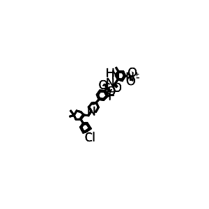 Cc1cc([N+](=O)[O-])cc(C(=O)NS(=O)(=O)c2ccc(C3=CCN(CC4=C(c5ccc(Cl)cc5)CC(C)(C)CC4)CC3)cc2F)n1